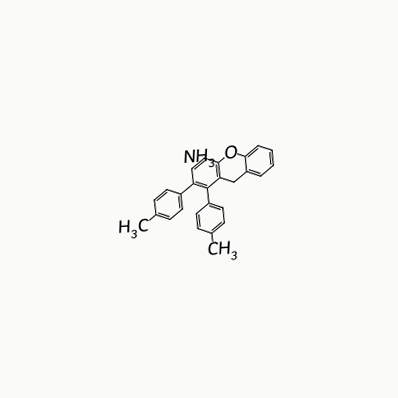 Cc1ccc(-c2ccc3c(c2-c2ccc(C)cc2)Cc2ccccc2O3)cc1.N